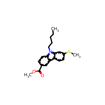 CCCCCn1c2ccc(C(=O)OC)cc2c2ccc(SC)cc21